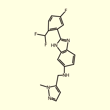 Cn1nccc1CNc1ccc2nc(-c3cc(F)ccc3C(F)F)[nH]c2c1